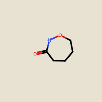 O=C1CCCCO[N]1